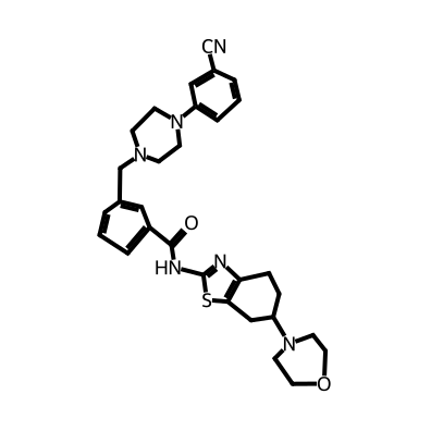 N#Cc1cccc(N2CCN(Cc3cccc(C(=O)Nc4nc5c(s4)CC(N4CCOCC4)CC5)c3)CC2)c1